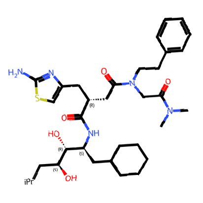 CC(C)C[C@H](O)[C@H](O)[C@H](CC1CCCCC1)NC(=O)[C@@H](CC(=O)N(CCc1ccccc1)CC(=O)N(C)C)Cc1csc(N)n1